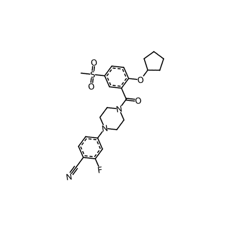 CS(=O)(=O)c1ccc(OC2CCCC2)c(C(=O)N2CCN(c3ccc(C#N)c(F)c3)CC2)c1